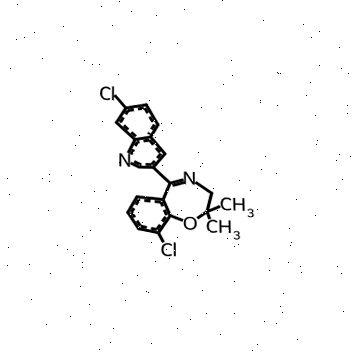 CC1(C)CN=C(c2cnc3cc(Cl)ccc3c2)c2cccc(Cl)c2O1